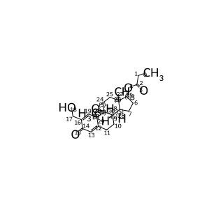 CCC(=O)O[C@H]1CC[C@H]2[C@@H]3CCC4=CC(=O)C(CO)=C[C@]4(C)[C@@]34O[C@H]4C[C@]12C